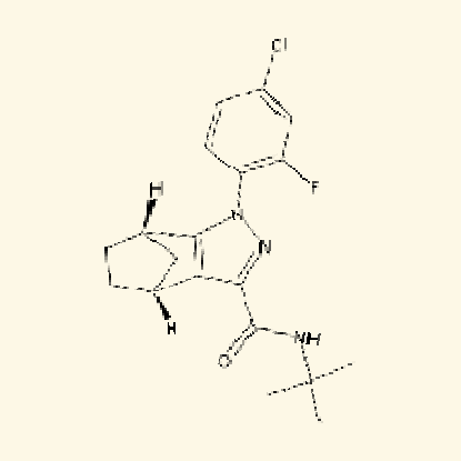 CC(C)(C)NC(=O)c1nn(-c2ccc(Cl)cc2F)c2c1[C@@H]1CC[C@H]2C1